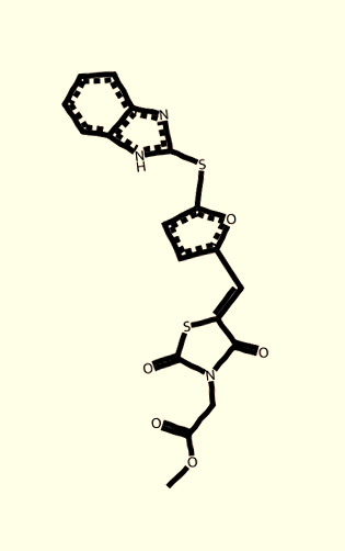 COC(=O)CN1C(=O)S/C(=C\c2ccc(Sc3nc4ccccc4[nH]3)o2)C1=O